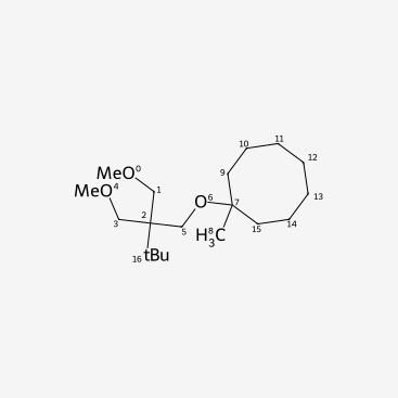 COCC(COC)(COC1(C)CCCCCCC1)C(C)(C)C